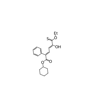 CCOC(=S)C(O)=CC=C(C(=O)OC1CCCCC1)c1ccccc1